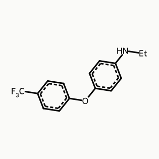 CCNc1ccc(Oc2ccc(C(F)(F)F)cc2)cc1